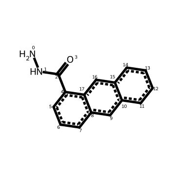 NNC(=O)c1cccc2cc3ccccc3cc12